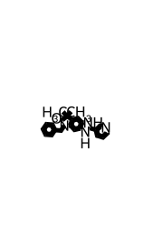 CC1(C)C(=O)N(Cc2ccccc2)c2cc3c(cc21)NC(c1cccnc1)N3